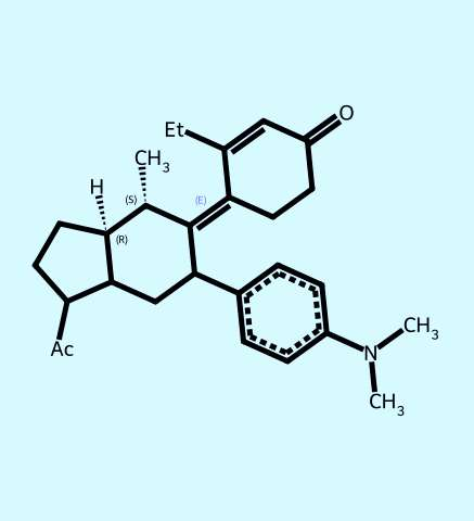 CCC1=CC(=O)CC/C1=C1\C(c2ccc(N(C)C)cc2)CC2C(C(C)=O)CC[C@H]2[C@@H]1C